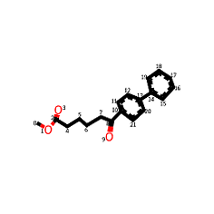 COC(=O)CCCCC(=O)c1ccc(-c2ccccc2)cc1